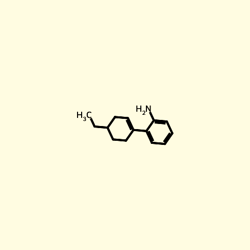 CCC1CC=C(c2ccccc2N)CC1